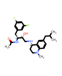 CC(=O)N[C@@H](Cc1cc(F)cc(F)c1)[C@H](O)CN[C@H]1CCN(C)c2ccc(CC(C)C)cc21